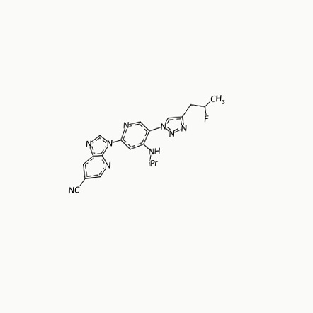 CC(F)Cc1cn(-c2cnc(-n3cnc4cc(C#N)cnc43)cc2NC(C)C)nn1